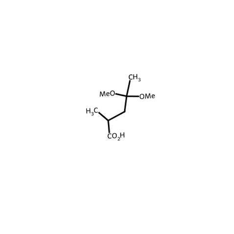 COC(C)(CC(C)C(=O)O)OC